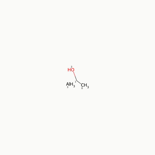 CCO.[AlH3]